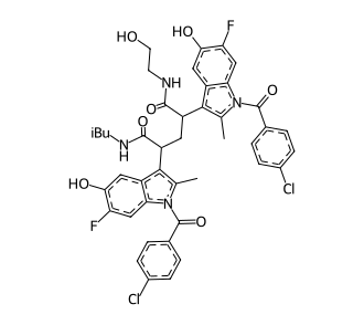 CCC(C)NC(=O)C(CC(C(=O)NCCO)c1c(C)n(C(=O)c2ccc(Cl)cc2)c2cc(F)c(O)cc12)c1c(C)n(C(=O)c2ccc(Cl)cc2)c2cc(F)c(O)cc12